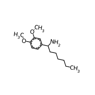 CCCCCCC(N)c1ccc(OC)c(OC)c1